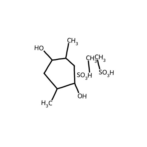 CC1CC(O)C(C)CC1O.CS(=O)(=O)O.CS(=O)(=O)O